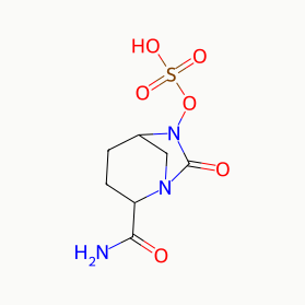 NC(=O)C1CCC2CN1C(=O)N2OS(=O)(=O)O